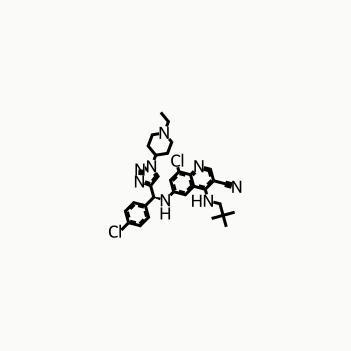 CCN1CCC(n2cc([C@@H](Nc3cc(Cl)c4ncc(C#N)c(NCC(C)(C)C)c4c3)c3ccc(Cl)cc3)nn2)CC1